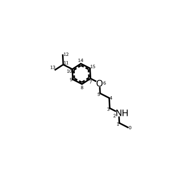 CCNCCCOc1ccc(C(C)C)cc1